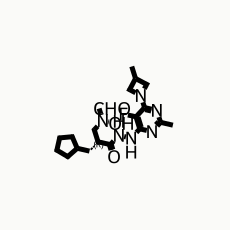 Cc1nc(NNC(=O)[C@H](CC2CCCC2)CN(O)C=O)c(F)c(N2CC(C)C2)n1